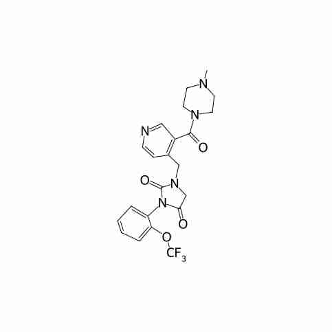 CN1CCN(C(=O)c2cnccc2CN2CC(=O)N(c3ccccc3OC(F)(F)F)C2=O)CC1